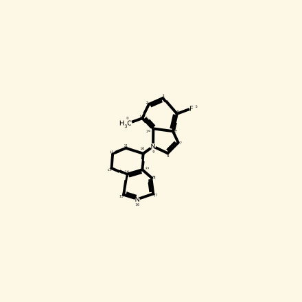 Cc1ccc(F)c2ccn(C3CCCc4cnccc43)c12